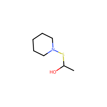 CC(O)SN1CCCCC1